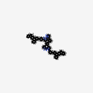 CC1(C)c2ccccc2-c2cc3c4ccccc4c4cc(-c5ccc(-c6ccc7c(n6)C6N=CC=CC6c6cccc(-c8ccc9c(c8)c8ccc(-c%10cccc(-c%11ccc%12c(c%11)c%11ccccc%11c%11cc%13c(cc%12%11)C(C)(C)c%11ccccc%11-%13)c%10)nc8c8ncccc98)c6-7)cc5)ccc4c3cc21